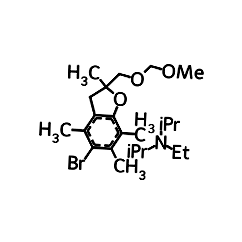 CCN(C(C)C)C(C)C.COCOCC1(C)Cc2c(C)c(Br)c(C)c(C)c2O1